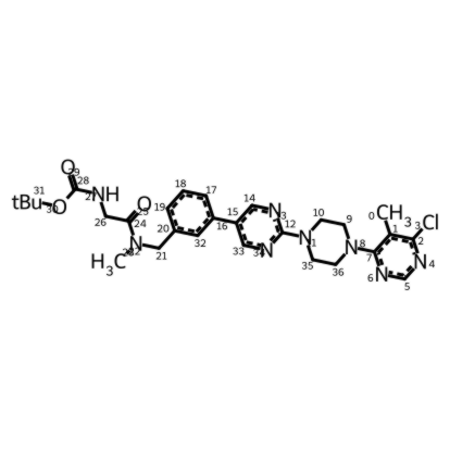 Cc1c(Cl)ncnc1N1CCN(c2ncc(-c3cccc(CN(C)C(=O)CNC(=O)OC(C)(C)C)c3)cn2)CC1